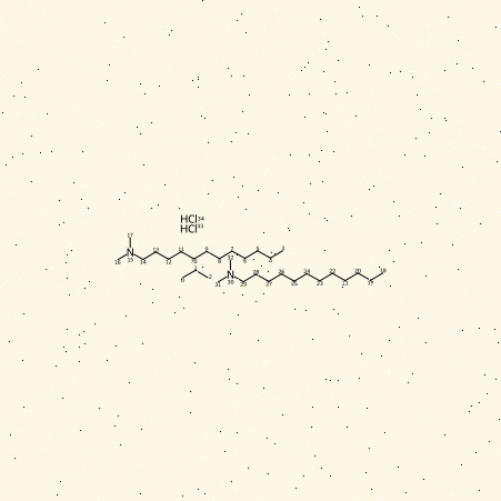 CCC.CCCCCCCCCCCCN(C)C.CCCCCCCCCCCCN(C)C.Cl.Cl